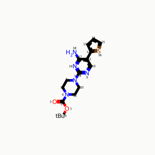 CC(C)(C)OC(=O)N1CCN(c2ncc(-c3cccs3)c(N)n2)CC1